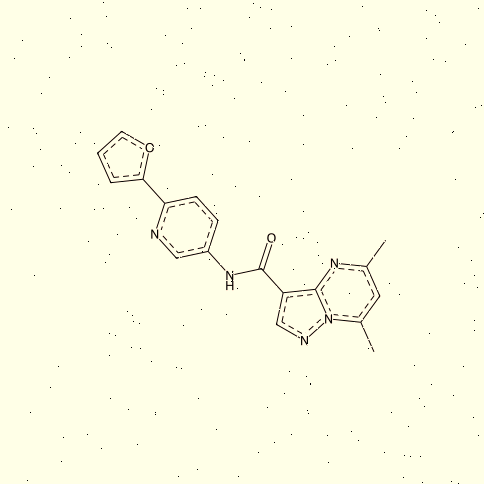 Cc1cc(C)n2ncc(C(=O)Nc3ccc(-c4ccco4)nc3)c2n1